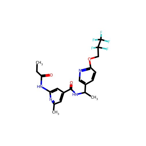 CCC(=O)Nc1cc(C(=O)NC(C)c2ccc(OCC(F)(F)C(F)(F)F)nc2)cc(C)n1